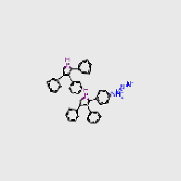 [N-]=[N+]=[N-].[NH4+].c1ccc(-c2c[pH]c(-c3ccccc3)c2-c2ccccc2)cc1.c1ccc(-c2c[pH]c(-c3ccccc3)c2-c2ccccc2)cc1